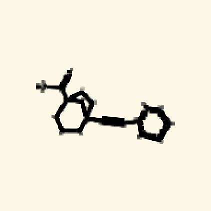 NC(=O)C12CCCC(C#Cc3ccccn3)(CC1)C2